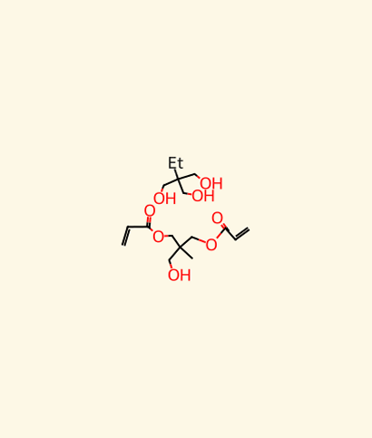 C=CC(=O)OCC(C)(CO)COC(=O)C=C.CCC(CO)(CO)CO